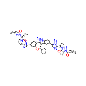 COC(=O)NC(C(=O)N1CCC[C@H]1c1ncc(-c2ccc3[nH]c4c(c3c2)C(C2CCCCC2)Oc2cc(-c3cnc([C@@H]5CCCN5C(=O)[C@@H](NC(=O)OC)C(C)C)[nH]3)ccc2-4)[nH]1)C(C)C